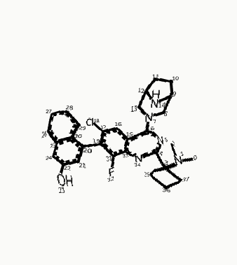 CN(C)C1(c2nc(N3CC4CCC(C3)N4)c3cc(Cl)c(-c4cc(O)cc5ccccc45)c(F)c3n2)CCC1